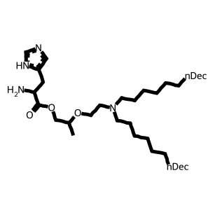 CCCCCCCCCCCCCCCCN(CCCCCCCCCCCCCCCC)CCOC(C)COC(=O)C(N)Cc1cnc[nH]1